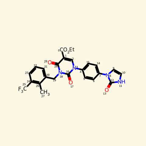 CCOC(=O)c1cn(-c2ccc(-n3cc[nH]c3=O)cc2)c(=O)n(Cc2cccc(C(F)(F)F)c2C)c1=O